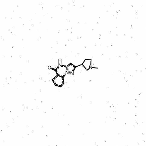 CN1CCC(c2cc3[nH]c(=O)c4ccccc4n3n2)C1